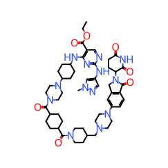 CCOC(=O)c1cnc(Nc2cnn(C)c2)nc1NC1CCC(N2CCN(C(=O)C3CCC(C(=O)N4CCC(CN5CCN(c6ccc7c(c6)CN(C6CCC(=O)NC6=O)C7=O)CC5)CC4)CC3)CC2)CC1